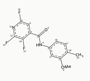 COc1cc(NC(=O)c2cc(F)nc(F)c2F)ccc1C